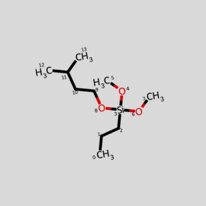 CCC[Si](OC)(OC)OCCC(C)C